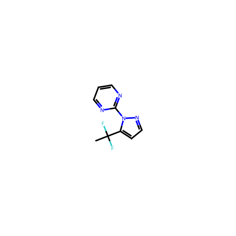 CC(F)(F)c1[c]cnn1-c1ncccn1